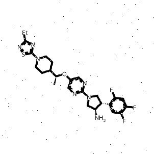 CCc1nsc(N2CCC([C@H](C)Oc3cnc(N4C[C@H](c5cc(F)c(F)cc5F)[C@@H](N)C4)nc3)CC2)n1